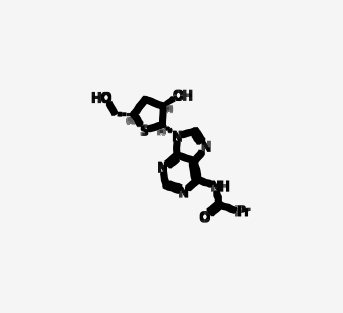 CC(C)C(=O)Nc1ncnc2c1ncn2[C@@H]1S[C@H](CO)C[C@H]1O